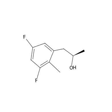 Cc1c(F)cc(F)cc1C[C@@H](C)O